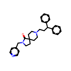 O=C1N(Cc2ccncc2)CCC12CCN(CCC(c1ccccc1)c1ccccc1)CC2